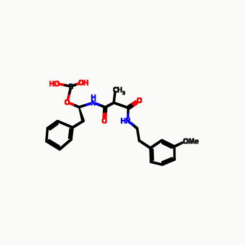 COc1cccc(CCNC(=O)C(C)C(=O)N[C@@H](Cc2ccccc2)OB(O)O)c1